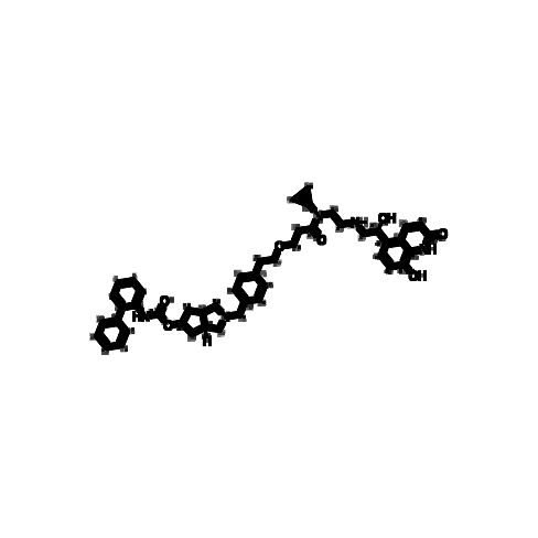 O=C(Nc1ccccc1-c1ccccc1)OC1CC2CN(Cc3ccc(CCOCCC(=O)N(CCNC[C@H](O)c4ccc(O)c5[nH]c(=O)ccc45)C4CC4)cc3)C[C@H]2C1